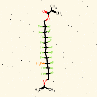 C=C(C)OCC(F)(F)C(F)(F)C(F)(P)C(F)(F)C(F)(F)C(F)(F)C(F)(F)C(F)(F)C(F)(F)C(F)(F)COC(=O)C(=C)C